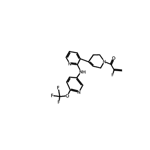 C=C(F)C(=O)N1CC=C(c2cccnc2Nc2ccc(OC(F)(F)F)nc2)CC1